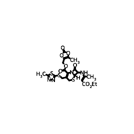 CCOC(=O)C=C(C)NC1C(=O)N2C(C(=O)OCc3oc(=O)oc3C)=C(CSc3nnc(C)s3)CS[C@@H]12